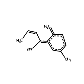 C=c1ccc(C)c/c1=C(/C=C\C)CCC